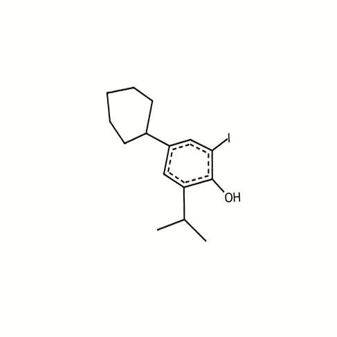 CC(C)c1cc(C2CCCCC2)cc(I)c1O